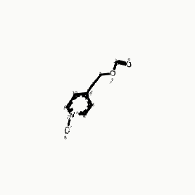 O=[C]OCc1cc[n+]([O-])cc1